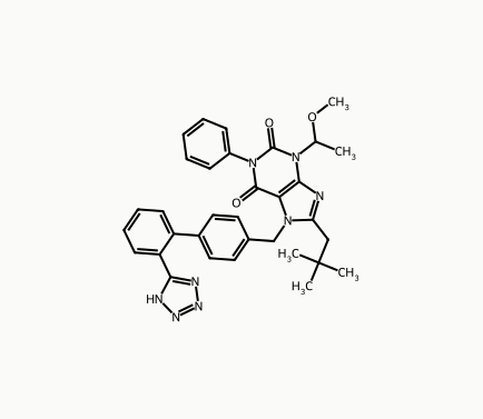 COC(C)n1c(=O)n(-c2ccccc2)c(=O)c2c1nc(CC(C)(C)C)n2Cc1ccc(-c2ccccc2-c2nnn[nH]2)cc1